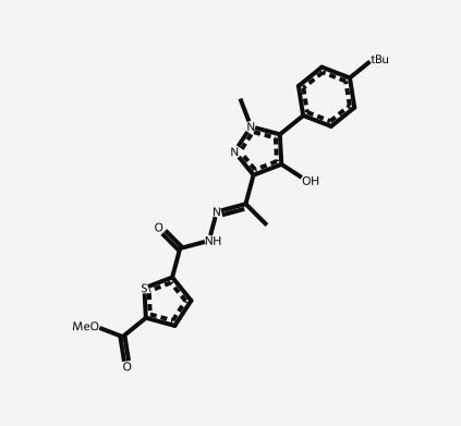 COC(=O)c1ccc(C(=O)N/N=C(\C)c2nn(C)c(-c3ccc(C(C)(C)C)cc3)c2O)s1